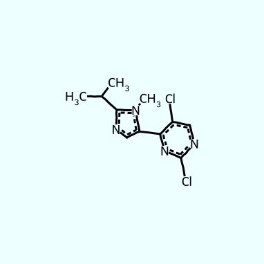 CC(C)c1ncc(-c2nc(Cl)ncc2Cl)n1C